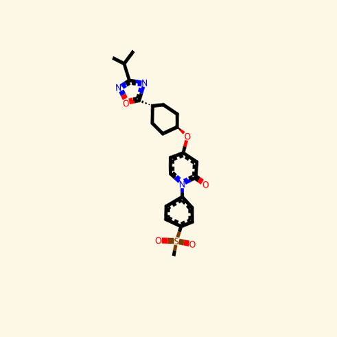 CC(C)c1noc([C@H]2CC[C@H](Oc3ccn(-c4ccc(S(C)(=O)=O)cc4)c(=O)c3)CC2)n1